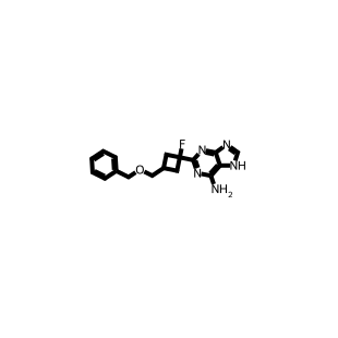 Nc1nc(C2(F)CC(COCc3ccccc3)C2)nc2nc[nH]c12